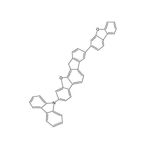 c1ccc2c(c1)oc1cc(-c3ccc4c(c3)-c3ccc5c(oc6cc(-n7c8ccccc8c8ccccc87)ccc65)c3C4)ccc12